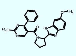 COc1ccc2nc(C3CCCN3C(=O)c3cnc(C)nc3-c3ccccc3)[nH]c2c1